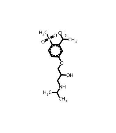 CC(C)NCC(O)COc1ccc(S(C)(=O)=O)c(C(C)C)c1